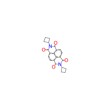 O=C1c2ccc3c4c(ccc(c24)C(=O)N1C1CCC1)C(=O)N(C1CCC1)C3=O